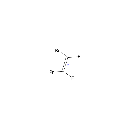 CC(C)/C(F)=C(/F)C(C)(C)C